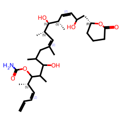 C=C/C=C\[C@H](C)C(OC(N)=O)C(C)C(O)C(C)C/C(C)=C\[C@H](C)[C@@H](O)[C@@H](C)/C=C\C(O)C[C@H]1CCCC(=O)O1